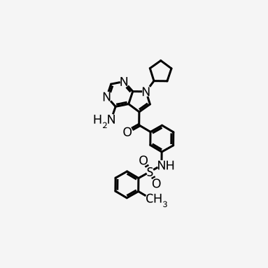 Cc1ccccc1S(=O)(=O)Nc1cccc(C(=O)c2cn(C3CCCC3)c3ncnc(N)c23)c1